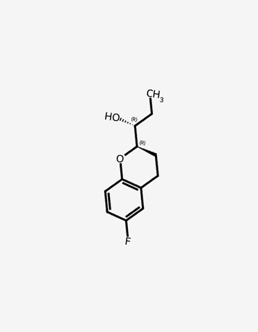 CC[C@@H](O)[C@H]1CCc2cc(F)ccc2O1